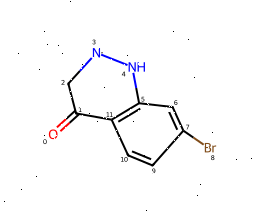 O=C1C[N]Nc2cc(Br)ccc21